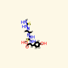 CNC(=S)N/N=C(C)/C(C)=N/NC(=S)NC(Cc1ccc(O)cc1)C(=O)O